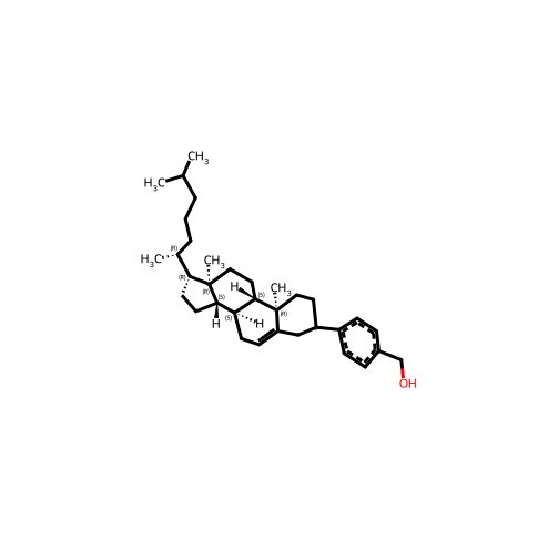 CC(C)CCC[C@@H](C)[C@H]1CC[C@H]2[C@@H]3CC=C4C[C](c5ccc(CO)cc5)CC[C@]4(C)[C@H]3CC[C@]12C